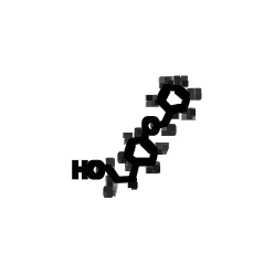 C[C@H](CO)Cc1ccc(OCc2ccccc2)cc1